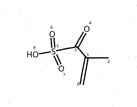 C=C(C)C(=O)S(=O)(=O)O